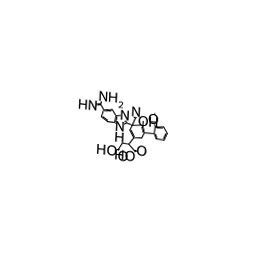 COc1ccccc1C1=C(O)C(C#N)(c2nc3cc(C(=N)N)ccc3[nH]2)C=C(C(CC(=O)O)C(=O)O)C1